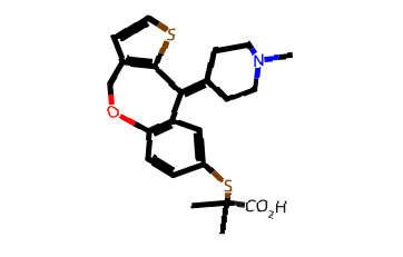 CN1CCC(=C2c3cc(SC(C)(C)C(=O)O)ccc3OCc3ccsc32)CC1